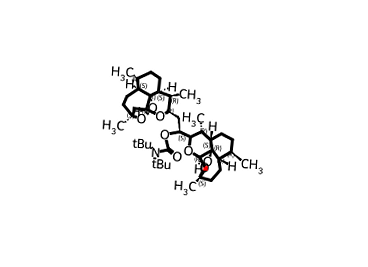 C[C@H]1[C@@H](C[C@H](OC(=O)N(C(C)(C)C)C(C)(C)C)C2O[C@@H]3C[C@]4(C)CC[C@H]5[C@H](C)CC[C@@H]([C@H]2C)[C@@]35OO4)O[C@@H]2C[C@]3(C)CC[C@H]4[C@H](C)CC[C@@H]1[C@@]24OO3